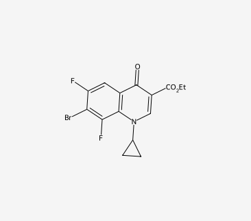 CCOC(=O)c1cn(C2CC2)c2c(F)c(Br)c(F)cc2c1=O